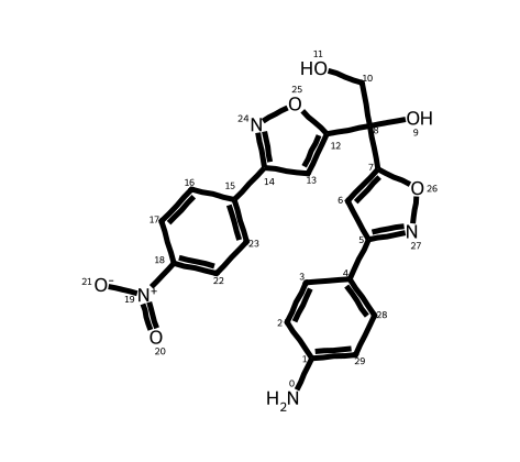 Nc1ccc(-c2cc(C(O)(CO)c3cc(-c4ccc([N+](=O)[O-])cc4)no3)on2)cc1